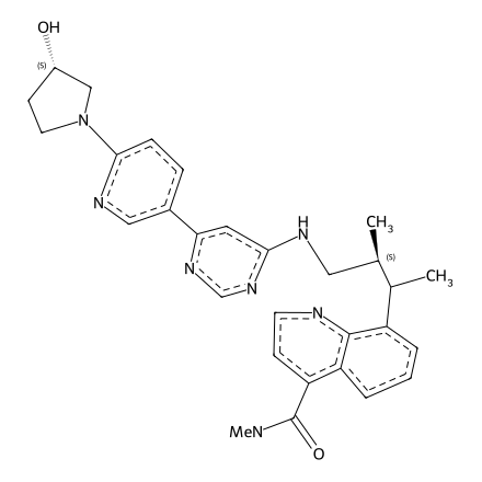 CNC(=O)c1ccnc2c(C(C)[C@H](C)CNc3cc(-c4ccc(N5CC[C@H](O)C5)nc4)ncn3)cccc12